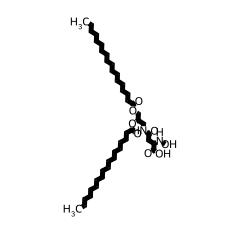 CCCCCCCCCCCCCCCCCC(=O)OCC(CNC(=O)CC(NO)C(=O)O)OC(=O)CCCCCCCCCCCCCCCCC